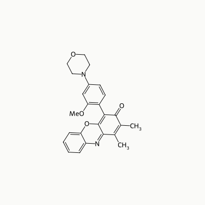 COc1cc(N2CCOCC2)ccc1-c1c2oc3ccccc3nc-2c(C)c(C)c1=O